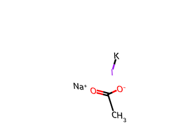 CC(=O)[O-].[K][I].[Na+]